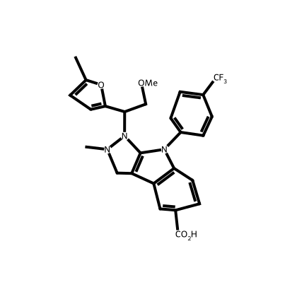 COCC(c1ccc(C)o1)N1c2c(c3cc(C(=O)O)ccc3n2-c2ccc(C(F)(F)F)cc2)CN1C